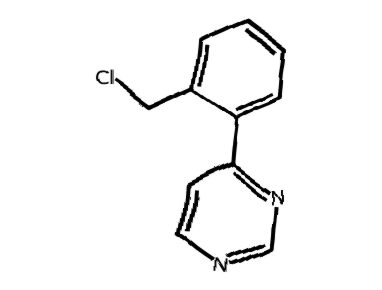 ClCc1ccccc1-c1ccncn1